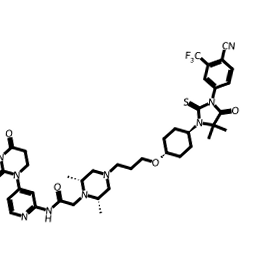 C[C@@H]1CN(CCCO[C@H]2CC[C@H](N3C(=S)N(c4ccc(C#N)c(C(F)(F)F)c4)C(=O)C3(C)C)CC2)C[C@H](C)N1CC(=O)Nc1cc(N2CCC(=O)NC2=O)ccn1